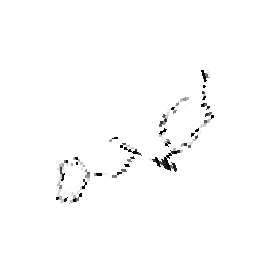 O=C(Cc1ccsc1)Nc1ccc(Br)cc1